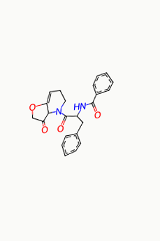 O=C(NC(Cc1ccccc1)C(=O)N1CCC=C2OCC(=O)C21)c1ccccc1